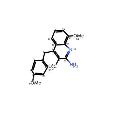 COc1ccc(Cc2c(C(=O)O)c(N)nc3c(OC)cccc23)cc1